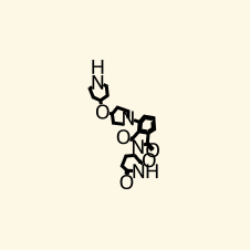 O=C1CCC(N2C(=O)c3cccc(N4CCC(OC5CCNCC5)CC4)c3C2=O)C(=O)N1